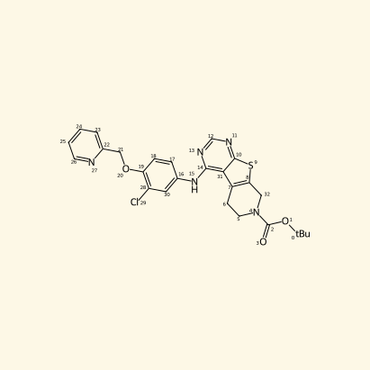 CC(C)(C)OC(=O)N1CCc2c(sc3ncnc(Nc4ccc(OCc5ccccn5)c(Cl)c4)c23)C1